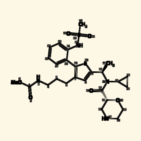 COC(=O)NCCCc1cc([C@@H](C)N(C(=O)[C@H]2CNCCO2)C2CC2)sc1-c1ccccc1NS(C)(=O)=O